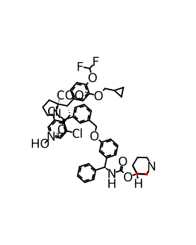 O=C(N[C@@H](c1ccccc1)c1cccc(OCc2cccc(C(=O)N3CCC[C@@]3(C(=O)[O-])[C@@H](Cc3c(Cl)c[n+](O)cc3Cl)c3ccc(OC(F)F)c(OCC4CC4)c3)c2)c1)O[C@H]1CN2CCC1CC2